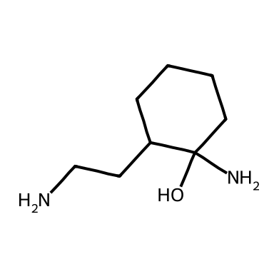 NCCC1CCCCC1(N)O